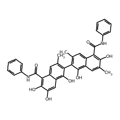 Cc1cc2c(O)c(-c3c(C)cc4c(C(=O)Nc5ccccc5)c(O)c(O)cc4c3O)c(C)cc2c(C(=O)Nc2ccccc2)c1O